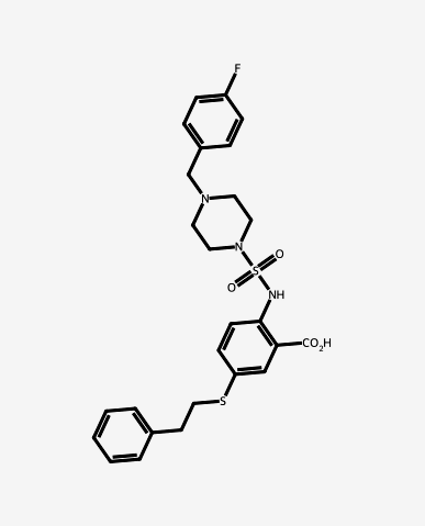 O=C(O)c1cc(SCCc2ccccc2)ccc1NS(=O)(=O)N1CCN(Cc2ccc(F)cc2)CC1